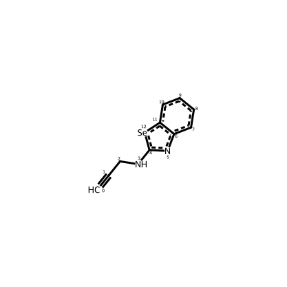 C#CCNc1nc2ccccc2[se]1